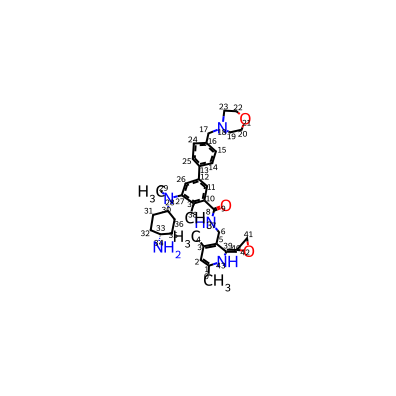 CC1=CC(C)=C(CNC(=O)c2cc(-c3ccc(CN4CCOCC4)cc3)cc(N(C)[C@H]3CC[C@@H](N)CC3)c2C)/C(=C2\CO2)N1